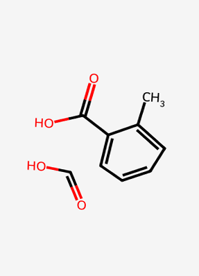 Cc1ccccc1C(=O)O.O=CO